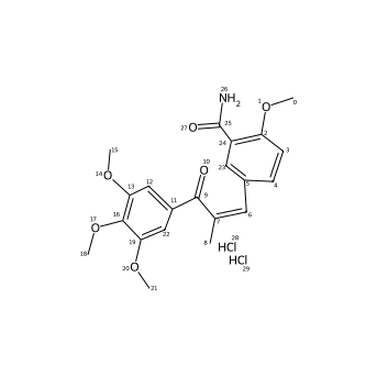 COc1ccc(C=C(C)C(=O)c2cc(OC)c(OC)c(OC)c2)cc1C(N)=O.Cl.Cl